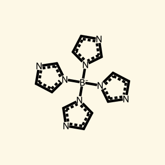 c1cn([B-](n2ccnc2)(n2ccnc2)n2ccnc2)cn1